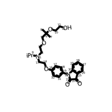 CC(C)N(CCOCC(C)(C)OCCO)CCOc1ccc(N2C(=O)C(=O)c3ccccc32)cc1